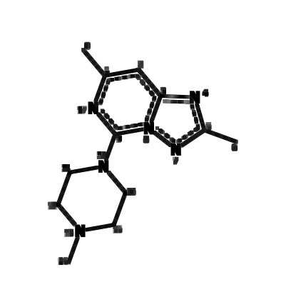 Cc1cc2nc(C)nn2c(N2CCN(C)CC2)n1